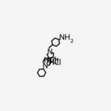 Cl.Cl.Cl.NC1CCC(CN2CCC3(CCN(C4CCCCC4)CC3)C2)CC1